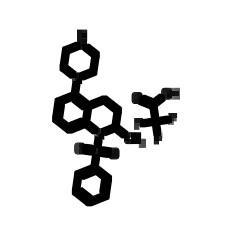 CC1CCc2c(N3CCNCC3)cccc2N1S(=O)(=O)c1ccccc1.O=C(O)C(F)(F)F